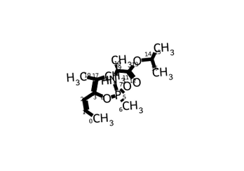 C/C=C\C(OP(C)(=O)N[C@@H](C)C(=O)OC(C)C)=C(C)C